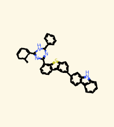 CC1CC=CC=C1C1=NC(c2cccc3c2sc2ccc(-c4ccc5c(c4)[nH]c4ccccc45)cc23)=NC(c2ccccc2)N1